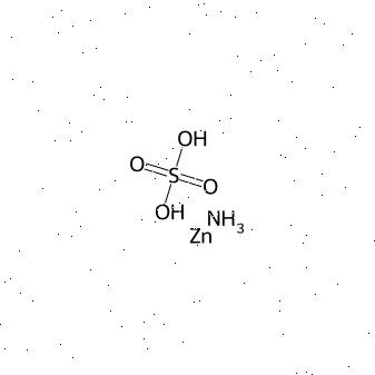 N.O=S(=O)(O)O.[Zn]